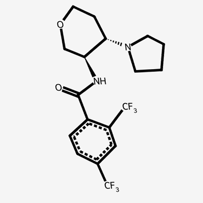 O=C(N[C@H]1COCC[C@@H]1N1CCCC1)c1ccc(C(F)(F)F)cc1C(F)(F)F